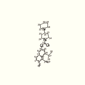 C#Cc1c(F)ccc2cc(OC(=O)N3CCC(N4CCCCC4)CC3)cc(C(C)C)c12